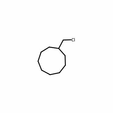 ClCC1CCCCCCCC1